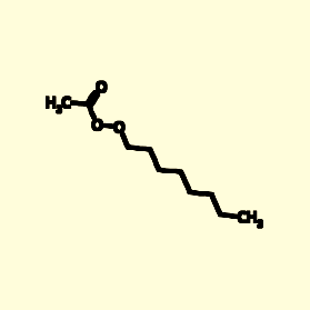 CCCCCCCCOOC(C)=O